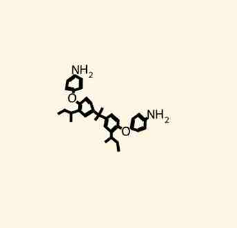 CCC(C)c1cc(C(C)(C)c2ccc(Oc3ccc(N)cc3)c(C(C)CC)c2)ccc1Oc1ccc(N)cc1